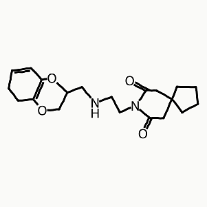 O=C1CC2(CCCC2)CC(=O)N1CCNCC1COC2=C(C=CCC2)O1